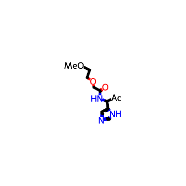 COCCOCC(=O)NC(C(C)=O)c1cnc[nH]1